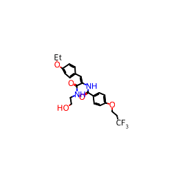 CCOc1ccc(/C=C(/NC(=O)c2ccc(OCCC(F)(F)F)cc2)C(=O)NCCO)cc1